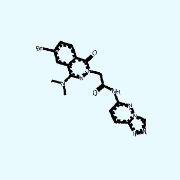 CN(C)c1nn(CC(=O)Nc2ccc3nncn3n2)c(=O)c2ccc(Br)cc12